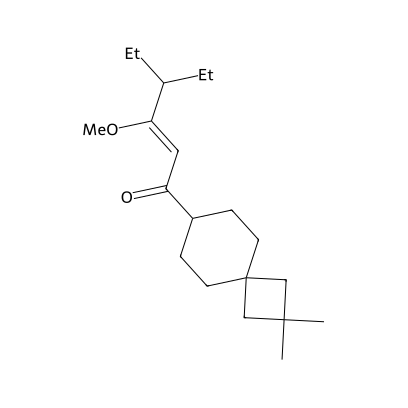 CCC(CC)/C(=C/C(=O)C1CCC2(CC1)CC(C)(C)C2)OC